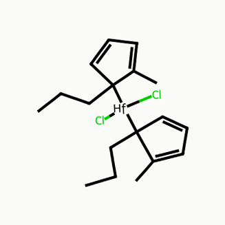 CCC[C]1([Hf]([Cl])([Cl])[C]2(CCC)C=CC=C2C)C=CC=C1C